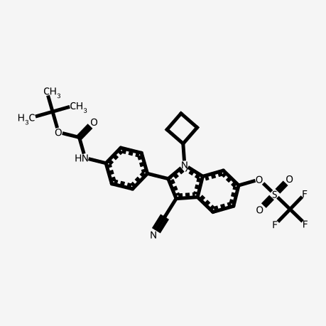 CC(C)(C)OC(=O)Nc1ccc(-c2c(C#N)c3ccc(OS(=O)(=O)C(F)(F)F)cc3n2C2CCC2)cc1